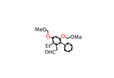 CCc1c(OCOC)cc(OCOC)c(-c2ccccc2)c1CC=O